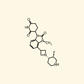 Cn1c(=O)n(C2CCC(=O)NC2=O)c2cccc(C3CN([C@H]4CCNC[C@@H]4F)C3)c21